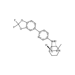 C[C@@H]1[C@@H](Nc2ccc(-c3ccc4c(c3)OC(F)(F)O4)nc2)C2CCN1CC2